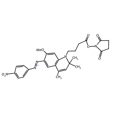 COc1cc2c(cc1/N=N/c1ccc([N+](=O)[O-])cc1)C(C)=CC(C)(C)N2CCCC(=O)ON1C(=O)CCC1=O